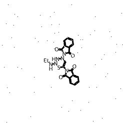 CCNn1[nH]n(N2C(=O)c3ccccc3C2=O)cc(N2C(=O)c3ccccc3C2=O)s1